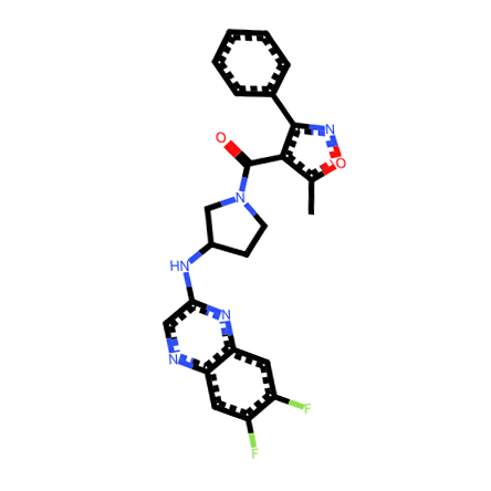 Cc1onc(-c2ccccc2)c1C(=O)N1CCC(Nc2cnc3cc(F)c(F)cc3n2)C1